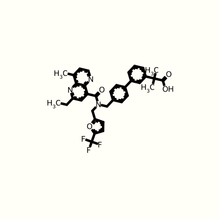 CCc1cc(C(=O)N(Cc2ccc(-c3cccc(C(C)(C)C(=O)O)c3)cc2)Cc2ccc(C(F)(F)F)o2)c2nccc(C)c2n1